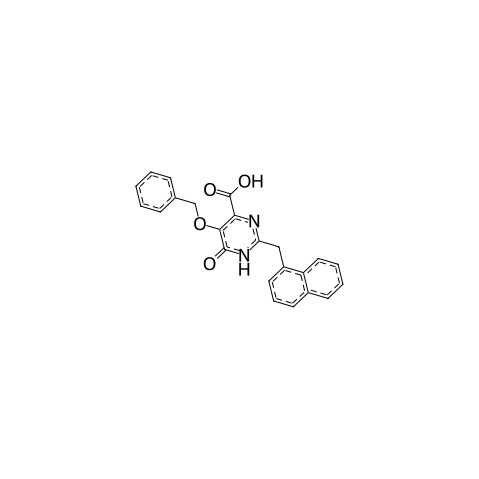 O=C(O)c1nc(Cc2cccc3ccccc23)[nH]c(=O)c1OCc1ccccc1